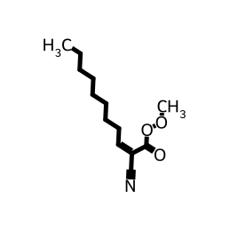 CCCCCCCCC=C(C#N)C(=O)OOC